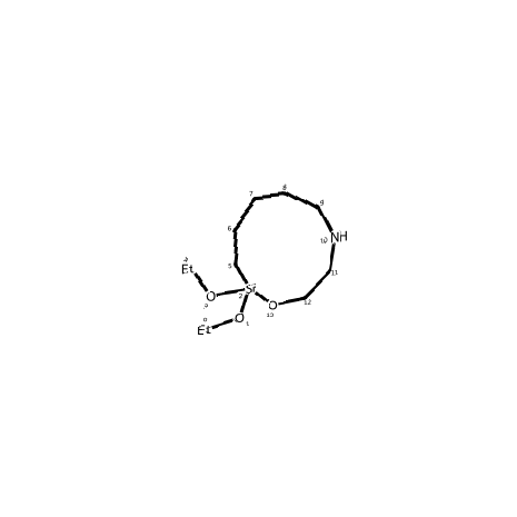 CCO[Si]1(OCC)CCCCCNCCO1